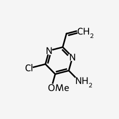 C=Cc1nc(N)c(OC)c(Cl)n1